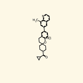 Cc1cc(-c2ccc3c(c2)CCC2(CCN(C(=O)C4CC4)CC2)O3)cc2cccnc12.Cl